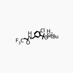 CC(C)(C)[SiH2]OC(C)(C)c1cc(CNC(=O)CC(F)(F)F)ccc1Cl